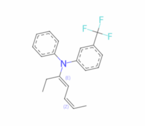 C/C=C\C=C(/CC)N(c1ccccc1)c1cccc(C(F)(F)F)c1